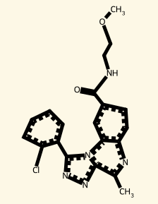 COCCNC(=O)c1ccc2nc(C)c3nnc(-c4ccccc4Cl)n3c2c1